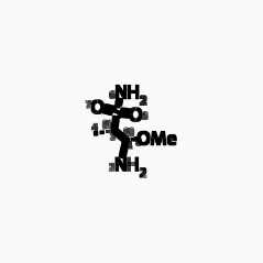 CO[C@H](N)[C@H](C)S(N)(=O)=O